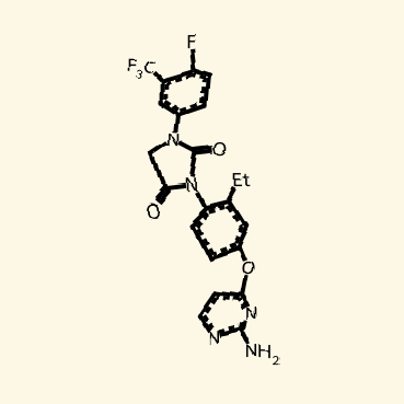 CCc1cc(Oc2ccnc(N)n2)ccc1N1C(=O)CN(c2ccc(F)c(C(F)(F)F)c2)C1=O